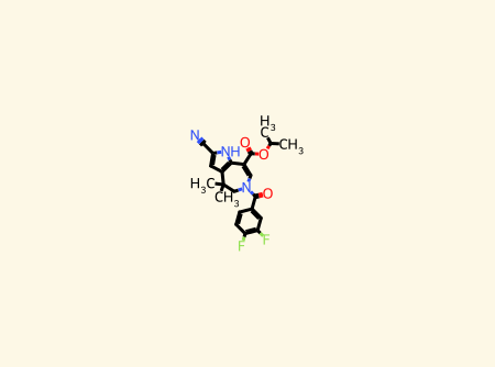 CC(C)OC(=O)C1=CN(C(=O)c2ccc(F)c(F)c2)CC(C)(C)c2cc(C#N)[nH]c21